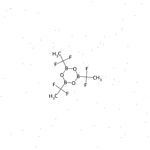 CC(F)(F)B1OB(C(C)(F)F)OB(C(C)(F)F)O1